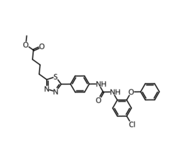 COC(=O)CCCc1nnc(-c2ccc(NC(=O)Nc3ccc(Cl)cc3Oc3ccccc3)cc2)s1